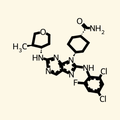 C[C@H]1COCC[C@@H]1Nc1ncc2nc(Nc3c(F)cc(Cl)cc3Cl)n([C@H]3CC[C@@H](C(N)=O)CC3)c2n1